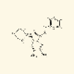 Cc1cc2c(cc1N)c(C=Cc1cnccn1)nn2C1CCCCO1